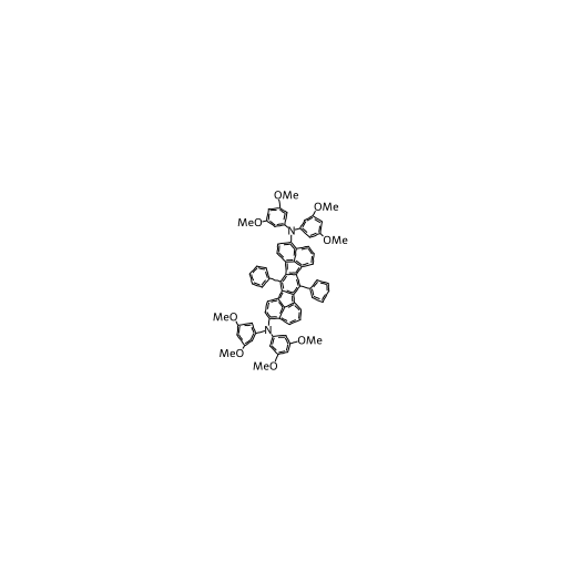 COc1cc(OC)cc(N(c2cc(OC)cc(OC)c2)c2ccc3c4c(-c5ccccc5)c5c6ccc(N(c7cc(OC)cc(OC)c7)c7cc(OC)cc(OC)c7)c7cccc(c5c(-c5ccccc5)c4c4cccc2c43)c76)c1